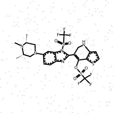 C[C@@H]1CN(c2ccc3nc(C4=C(OS(=O)(=O)C(F)(F)F)c5sccc5NC4)n(S(=O)(=O)C(F)(F)F)c3c2)C[C@H](C)N1C